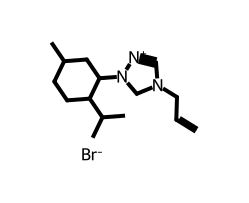 C=CCN1C#[N+]N(C2CC(C)CCC2C(C)C)C1.[Br-]